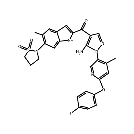 Cc1cc2cc(C(=O)c3cnn(-c4cnc(Oc5ccc(F)cc5)cc4C)c3N)[nH]c2cc1N1CCCS1(=O)=O